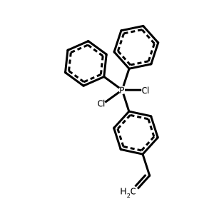 C=Cc1ccc(P(Cl)(Cl)(c2ccccc2)c2ccccc2)cc1